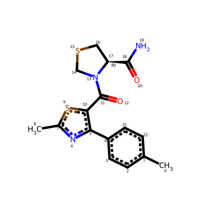 Cc1ccc(-c2nc(C)sc2C(=O)N2CSC[C@H]2C(N)=O)cc1